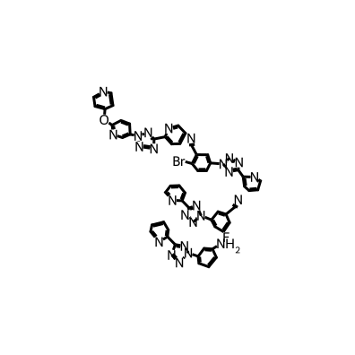 N#Cc1cc(-n2nnc(-c3ccccn3)n2)ccc1Br.N#Cc1cc(F)cc(-n2nnc(-c3ccccn3)n2)c1.Nc1cccc(-n2nnc(-c3ccccn3)n2)c1.c1ccc(-c2nnn(-c3ccc(Oc4ccncc4)nc3)n2)nc1